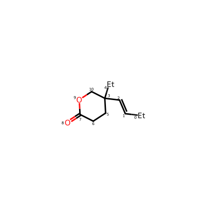 CCC=CC1(CC)CCC(=O)OC1